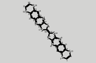 C1=CSc2cc3nc4c(nc3cc2S1)SC(=C1Sc2nc3cc5c(cc3nc2S1)SC=CS5)S4